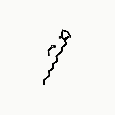 CCCCCCCCCCCC1=NCCN1.CCO